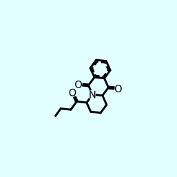 CCCC(=O)C1CCCC2C(=O)c3ccccc3C(=O)N12